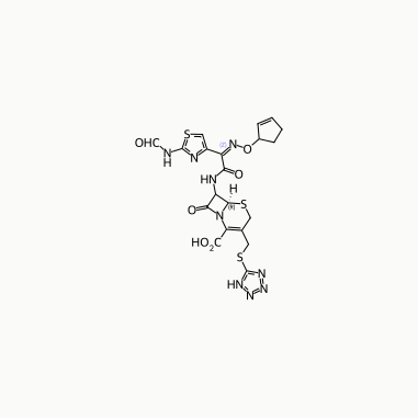 O=CNc1nc(/C(=N/OC2C=CCC2)C(=O)NC2C(=O)N3C(C(=O)O)=C(CSc4nnn[nH]4)CS[C@H]23)cs1